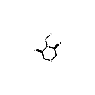 O=C1CSCC(=O)N1SS